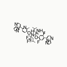 Cc1nc(-c2ccnc3ccnn23)ccc1OCC(CC(C)C)(NC(Oc1cc(F)c(-c2ccnc3ccnn23)cc1F)[C@@](C)(N)CC(C)C)C(F)(F)F